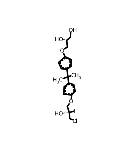 CC(C)(c1ccc(OC[C@H](O)CO)cc1)c1ccc(OC[C@@](O)(I)CCl)cc1